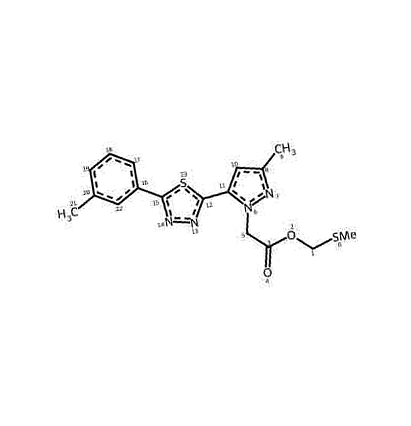 CSCOC(=O)Cn1nc(C)cc1-c1nnc(-c2cccc(C)c2)s1